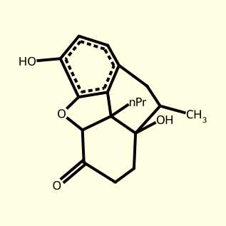 CCCC12c3c4ccc(O)c3OC1C(=O)CCC2(O)C(C)C4